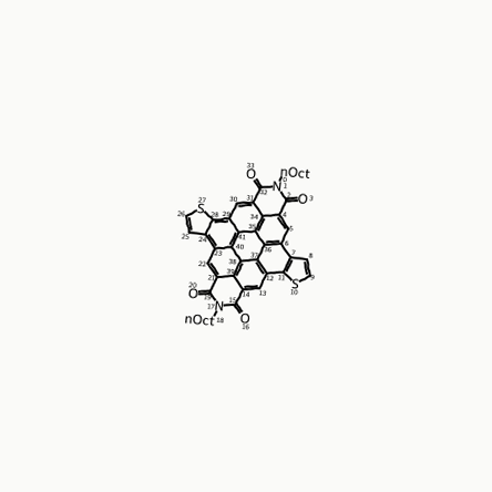 CCCCCCCCn1c(=O)c2cc3c4ccsc4c4cc5c(=O)n(CCCCCCCC)c(=O)c6cc7c8ccsc8c8cc(c1=O)c2c1c3c4c(c65)c7c81